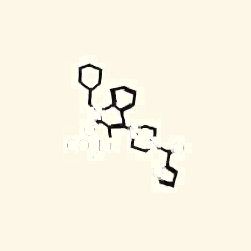 CCOC(=O)c1c(N2CCN(C(=O)c3ccco3)CC2)c2ccccc2n(CC2CCCCC2)c1=O